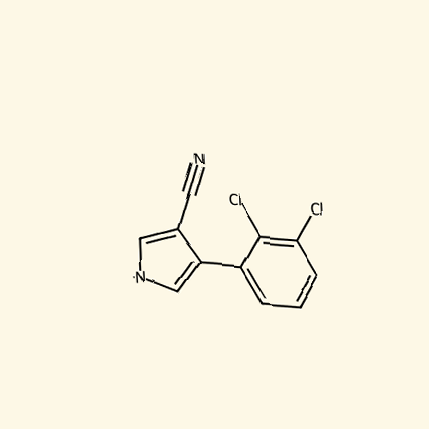 N#CC1=C[N]C=C1c1cccc(Cl)c1Cl